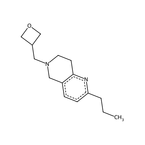 CCCc1ccc2c(n1)CCN(CC1COC1)C2